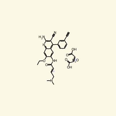 C#Cc1cccc(-c2c(C#N)c(N)nc3cc(OCC)c(NC(=O)/C=C/CN(C)C)cc23)c1.O.O=C(O)/C=C\C(=O)O